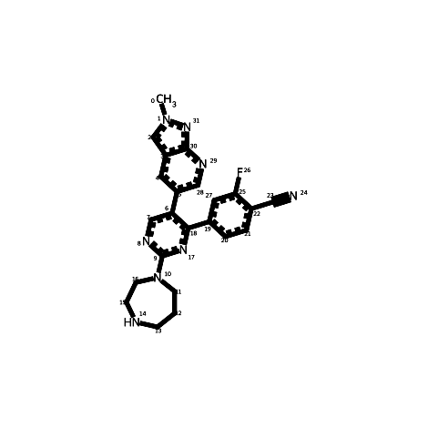 Cn1cc2cc(-c3cnc(N4CCCNCC4)nc3-c3ccc(C#N)c(F)c3)cnc2n1